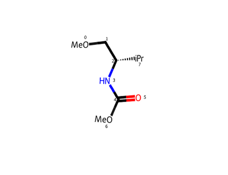 COC[C@@H](NC(=O)OC)C(C)C